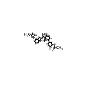 Cc1cn(-c2cccc3[nH]c(-c4n[nH]c5ccc(-c6cncc(CN(C)C)c6)nc45)cc23)cn1